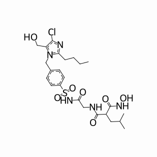 CCCCc1nc(Cl)c(CO)n1Cc1ccc(S(=O)(=O)NC(=O)CNC(=O)C(CC(C)C)C(=O)NO)cc1